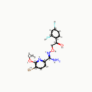 COc1nc(/C(N)=N/OCC(=O)c2ccc(F)cc2F)ccc1Br